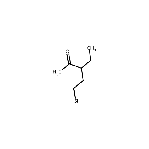 CCC(CCS)C(C)=O